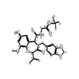 COc1cc(Br)cc2c1OC(C(C)C)C(=O)N(Cc1ccc3c(c1)OCO3)C2C(=O)NCC(=O)OC(C)(C)C